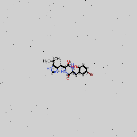 C=C(C)c1[nH]cnc1/C=c1\[nH]c(=O)/c(=C/c2cc(Br)ccc2O)[nH]c1=O